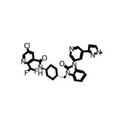 Cn1ccc(-c2cncc(-n3c(=O)n(C[C@H]4CC[C@H](NC(=O)c5cc(Cl)cnc5C(F)F)CC4)c4ccccc43)c2)n1